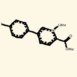 COC(=O)c1ccc(-c2ccc(Cl)cc2)c[n+]1OC